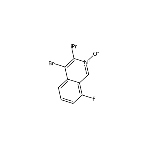 CC(C)c1c(Br)c2cccc(F)c2c[n+]1[O-]